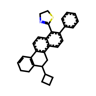 C1=CC2=C(CC1)C(C1CCC1)Cc1c2ccc2c(C3=NCCS3)c(-c3ccccc3)ccc12